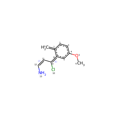 C=c1ccc(OC)c/c1=C(Cl)/C=C\N